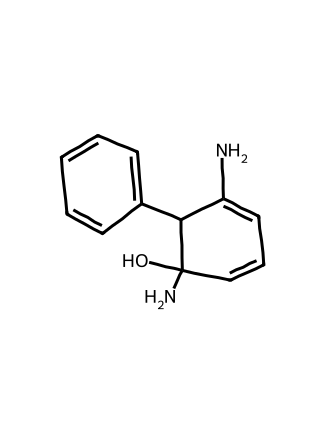 NC1=CC=CC(N)(O)C1c1ccccc1